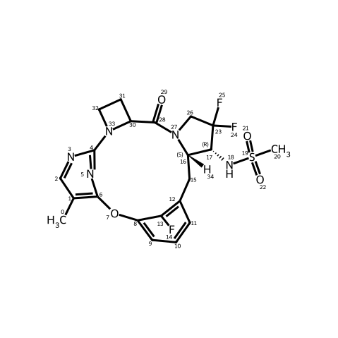 Cc1cnc2nc1Oc1cccc(c1F)C[C@H]1[C@@H](NS(C)(=O)=O)C(F)(F)CN1C(=O)C1CCN21